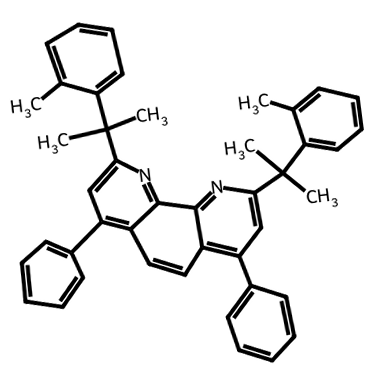 Cc1ccccc1C(C)(C)c1cc(-c2ccccc2)c2ccc3c(-c4ccccc4)cc(C(C)(C)c4ccccc4C)nc3c2n1